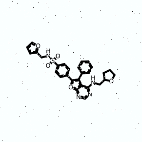 O=S(=O)(NCc1ccco1)c1ccc(-c2oc3ncnc(NCC4CCCO4)c3c2-c2ccccc2)cc1